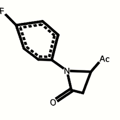 CC(=O)C1CC(=O)N1c1ccc(F)cc1